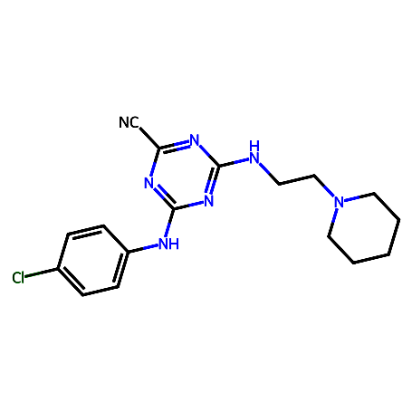 N#Cc1nc(NCCN2CCCCC2)nc(Nc2ccc(Cl)cc2)n1